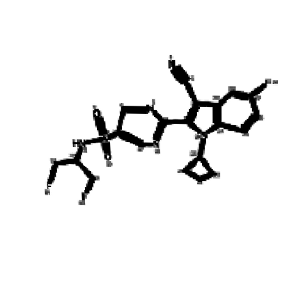 N#Cc1c(-c2ncc(S(=O)(=O)NC(CF)CF)cn2)n(C2CCC2)c2ccc(F)cc12